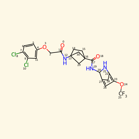 O=C(COc1ccc(Cl)c(Cl)c1)NC12CCC(C(=O)NC3NC4=C(OC(F)(F)F)C=C3C4)(C1)C2